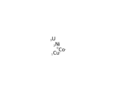 [Co].[Cu].[Ni].[U]